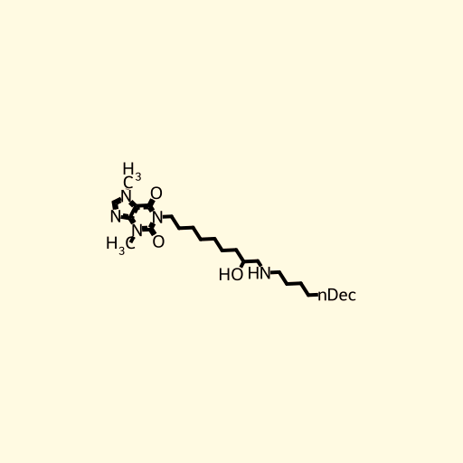 CCCCCCCCCCCCCCNCC(O)CCCCCCCn1c(=O)c2c(ncn2C)n(C)c1=O